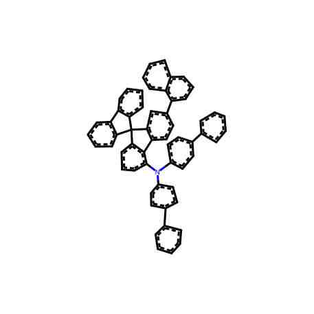 c1ccc(-c2ccc(N(c3ccc(-c4ccccc4)cc3)c3cccc4c3-c3ccc(-c5cccc6ccccc56)cc3C43c4ccccc4-c4ccccc43)cc2)cc1